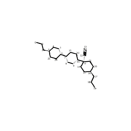 CCC[C@H]1CC[C@H]([C@H]2CC[C@@H]([C@]3(C#N)CC[C@H](CCC)CC3)CC2)CC1